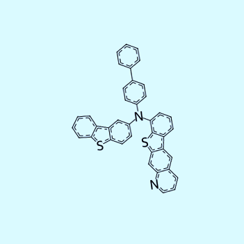 c1ccc(-c2ccc(N(c3ccc4sc5ccccc5c4c3)c3cccc4c3sc3cc5ncccc5cc34)cc2)cc1